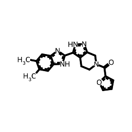 Cc1cc2nc(-c3[nH]nc4c3CCN(C(=O)c3ccco3)C4)[nH]c2cc1C